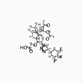 CC(=O)OC[C@@H]1[C@H](OC(C)=O)[C@@H](n2cc(-c3cc(F)c(F)c(F)c3)nn2)[C@@H](OCC(=O)O)C[SH]1[Si](C(C)C)(C(C)C)C(C)C